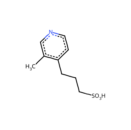 Cc1cnccc1CCCS(=O)(=O)O